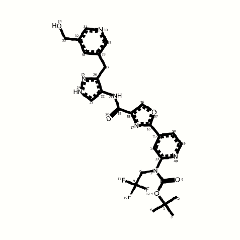 CC(C)(C)OC(=O)N(CC(F)(F)F)c1cc(-c2nc(C(=O)Nc3c[nH]nc3Cc3cncc(CO)c3)co2)ccn1